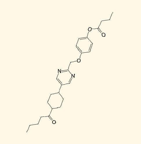 CCCCC(=O)C1CCC(c2cnc(COc3ccc(OC(=O)CCC)cc3)nc2)CC1